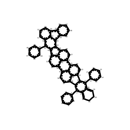 C1=c2c(-c3ccccc3)c3c(c(-c4ccccc4)c2=CCC1)-c1ccc2c4ccc5c6c(ccc(c7ccc-3c1c72)c46)c1c(-c2ccccc2)c2cccc3c4ccccc4c(c23)c51